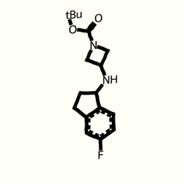 CC(C)(C)OC(=O)N1CC(NC2CCc3cc(F)ccc32)C1